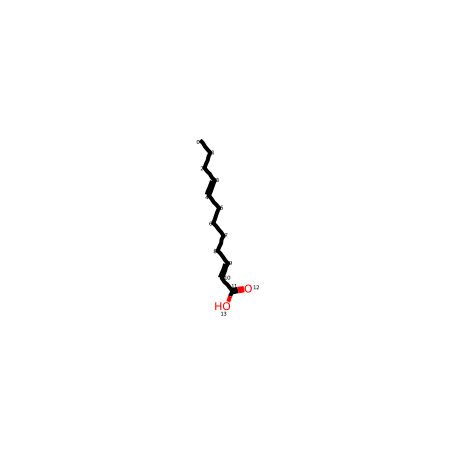 CCC/C=C/CCCC/C=C/C(=O)O